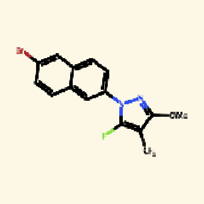 COc1nn(-c2ccc3cc(Br)ccc3c2)c(F)c1C(F)(F)F